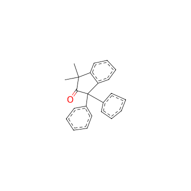 CC1(C)C(=O)C(c2ccccc2)(c2ccccc2)c2ccccc21